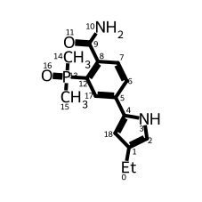 CCc1c[nH]c(-c2ccc(C(N)=O)c(P(C)(C)=O)c2)c1